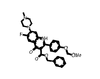 COCOc1ccc(-c2[nH]c3cc(N4CCN(C)CC4)c(F)cc3c(=O)c2C(=O)OCc2ccccc2)cc1